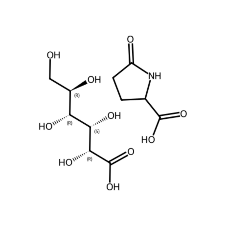 O=C(O)[C@H](O)[C@@H](O)[C@H](O)[C@H](O)CO.O=C1CCC(C(=O)O)N1